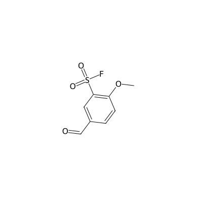 COc1ccc(C=O)cc1S(=O)(=O)F